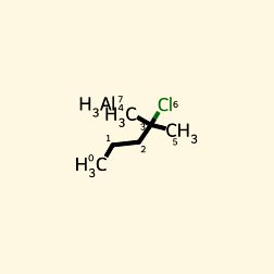 CCCC(C)(C)Cl.[AlH3]